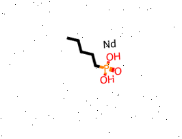 CCCCCP(=O)(O)O.[Nd]